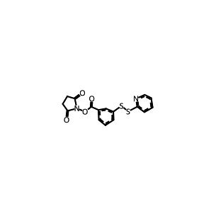 O=C(ON1C(=O)CCC1=O)c1cccc(SSc2ccccn2)c1